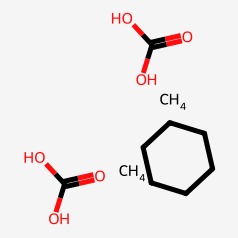 C.C.C1CCCCC1.O=C(O)O.O=C(O)O